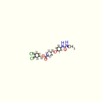 CNC(=O)Nc1ccc(OCC2CCN(C(=O)OCc3ccc(Cl)c(Cl)c3)CC2)cc1